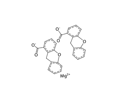 O=C([O-])c1cccc2c1Cc1ccccc1O2.O=C([O-])c1cccc2c1Cc1ccccc1O2.[Mg+2]